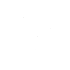 CCN(CC)C(=O)CC[C@@H]1CC(=O)[C@@]2(C)CCC3c4ccc(Cl)cc4CCC3C12